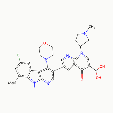 CNc1cc(F)cc2c1[nH]c1ncc(-c3cnc4c(c3)c(=O)c(C(O)O)cn4C3CCN(C)C3)c(N3CCOCC3)c12